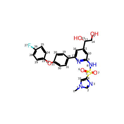 Cn1cnc(S(=O)(=O)Nc2cc([C@H](O)CO)cc(-c3ccc(Oc4ccc(F)cc4)cc3)n2)c1